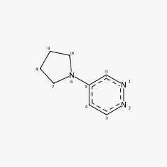 [c]1nnccc1N1CCCC1